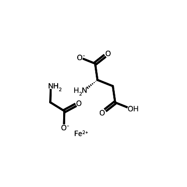 NCC(=O)[O-].N[C@@H](CC(=O)O)C(=O)[O-].[Fe+2]